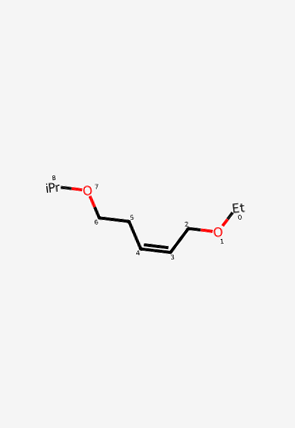 CCOC/C=C\CCOC(C)C